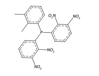 Cc1cccc(P(c2cccc([N+](=O)[O-])c2[N+](=O)[O-])c2cccc([N+](=O)[O-])c2[N+](=O)[O-])c1C